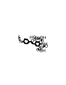 CC(=O)Nc1c(S(=O)(=O)O)cc(C=Cc2ccc(N=C=S)cc2)c(S(=O)(=O)O)c1S(=O)(=O)O